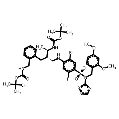 COc1ccc(CN(c2ncns2)S(=O)(=O)c2cc(Br)c(NC[C@H](Cc3ccccc3CNC(=O)OC(C)(C)C)[C@@H](C)NC(=O)OC(C)(C)C)cc2F)c(OC)c1